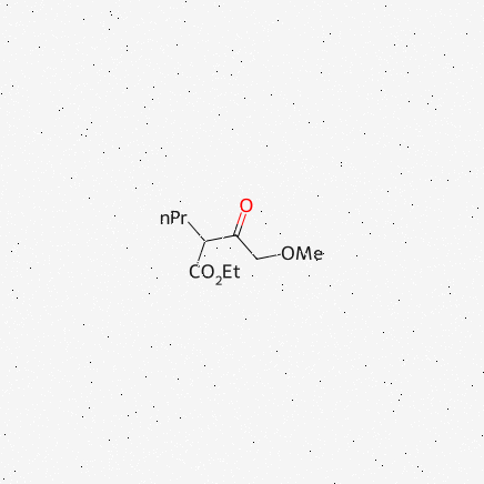 CCCC(C(=O)COC)C(=O)OCC